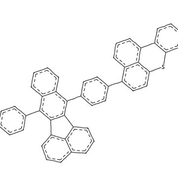 c1ccc(-c2c3c(c(-c4ccc(-c5ccc6c7c(cccc57)-c5ccccc5S6)cc4)c4ccccc24)-c2cccc4cccc-3c24)cc1